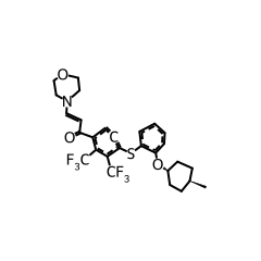 C[C@H]1CC[C@@H](Oc2ccccc2Sc2ccc(C(=O)C=CN3CCOCC3)c(C(F)(F)F)c2C(F)(F)F)CC1